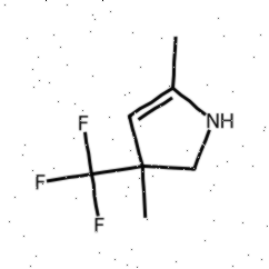 CC1=CC(C)(C(F)(F)F)CN1